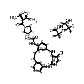 Cc1noc(C)c1C(=O)N1CC[C@H](NC(=O)Nc2ccc3cc2CCc2cncc(c2)Nc2ncc(Cl)c(n2)N3)C1.O=C(O)C(F)(F)F.O=C(O)C(F)(F)F